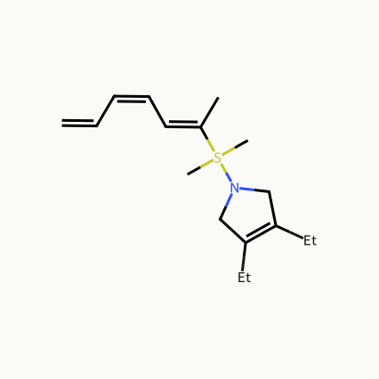 C=C/C=C\C=C(/C)S(C)(C)N1CC(CC)=C(CC)C1